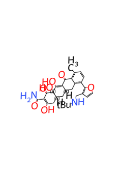 Cc1ccc(-c2occc2CNC(C)(C)C)c2c1C(=O)C1=C(O)[C@]3(O)C(=O)C(C(N)=O)=C(O)C[C@@H]3C[C@@H]1C2